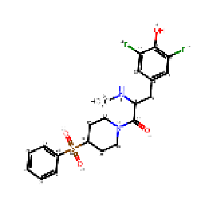 O=C(O)NC(Cc1cc(F)c(O)c(F)c1)C(=O)N1CCC(S(=O)(=O)c2ccccc2)CC1